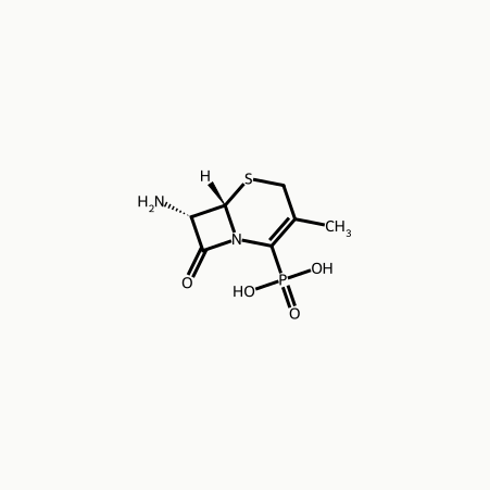 CC1=C(P(=O)(O)O)N2C(=O)[C@H](N)[C@@H]2SC1